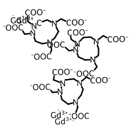 O=C([O-])CN1CCN(CC(=O)[O-])CCN(CC(=O)[O-])N(CC(=O)[O-])CC1.O=C([O-])CN1CCN(CC(=O)[O-])CCN(CC(=O)[O-])N(CC(=O)[O-])CC1.O=C([O-])CN1CCN(CC(=O)[O-])CCN(CC(=O)[O-])N(CC(=O)[O-])CC1.[Gd+3].[Gd+3].[Gd+3].[Gd+3]